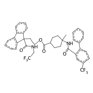 CC1(NC(=O)c2cc(C(F)(F)F)ccc2-c2ccccc2)CCC(C(=O)OCCC2(C(=O)NCC(F)(F)F)c3ccccc3-c3ccccc32)CC1